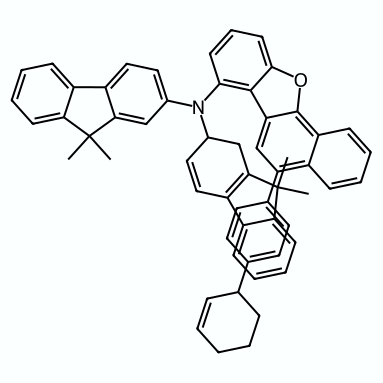 CC1(C)C2=C(C=CC(N(c3ccc4c(c3)C(C)(C)c3ccccc3-4)c3cccc4oc5c6ccccc6c(-c6ccc(C7C=CCCC7)cc6)cc5c34)C2)c2ccccc21